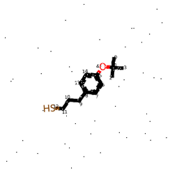 CC(C)(C)Oc1ccc(CCCS)cc1